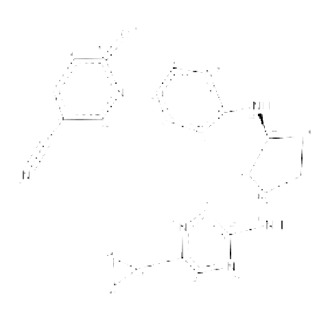 N#Cc1ccc(=O)n(-c2ccc(N[C@H]3CC[C@H](Nc4cnc(C5CC5)cn4)C3)nc2)c1